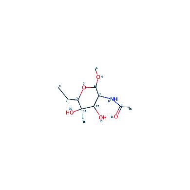 CCC1OC(OC)C(NC(C)=O)C(O)[C@@]1(C)O